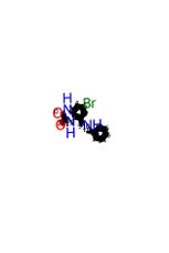 O=c1[nH]c2cc(Br)cc(CN[CH]c3ccccc3)c2[nH]c1=O